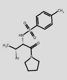 CC(=O)[C@H](C)[C@H](NS(=O)(=O)c1ccc(C)cc1)C(=O)N1CCCC1